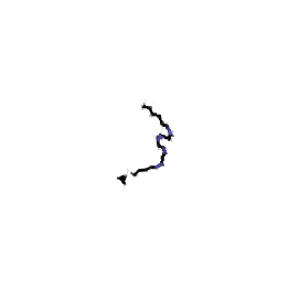 O=C(CCC/C=C\C/C=C\C/C=C\C/C=C\CCCCCO)NC1CC1